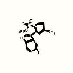 CCCCOS(=O)(=O)c1ccc(C)cc1-c1c[nH]c2ccc(F)cc12